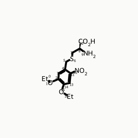 CCOc1cc(CSC[C@H](N)C(=O)O)c([N+](=O)[O-])cc1OCC